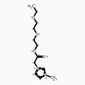 CCOCCOCCOC(=O)C[n+]1ccn(C)c1